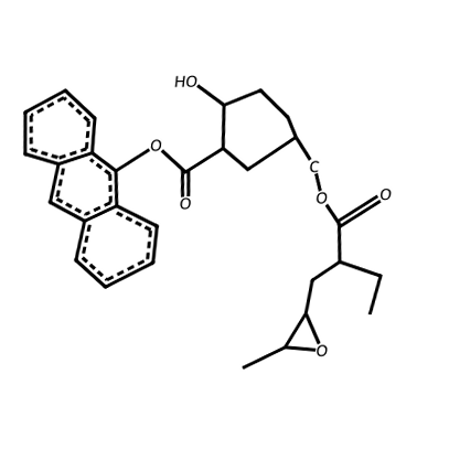 CCC(CC1OC1C)C(=O)OCC1CCC(O)C(C(=O)Oc2c3ccccc3cc3ccccc23)C1